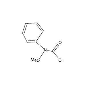 CON(C([O])=O)c1ccccc1